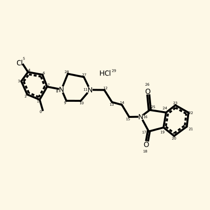 Cc1ccc(Cl)cc1N1CCN(CCCCN2C(=O)c3ccccc3C2=O)CC1.Cl